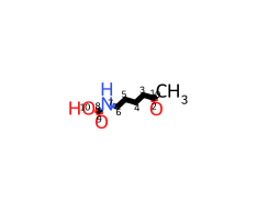 CC(=O)CCCCNC(=O)O